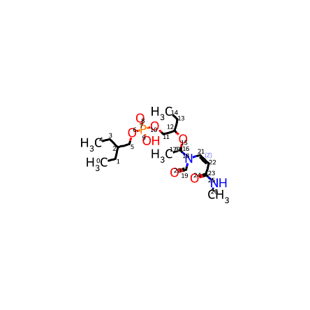 CCC(CC)COP(=O)(O)OCC(CC)O[C@H](C)N(C=O)/C=C\C(=O)NC